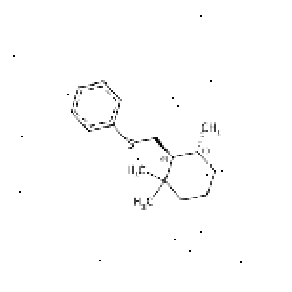 C[C@@H]1CCCC(C)(C)[C@H]1CSc1ccccc1